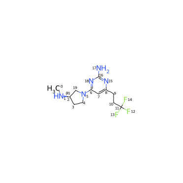 CN[C@@H]1CCN(c2cc(CCC(F)(F)F)nc(N)n2)C1